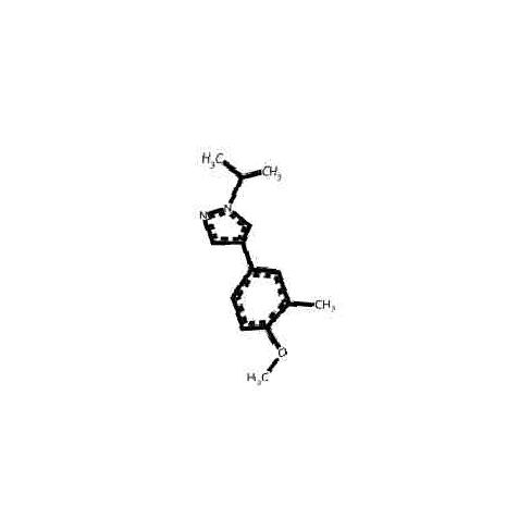 COc1ccc(-c2cnn(C(C)C)c2)cc1C